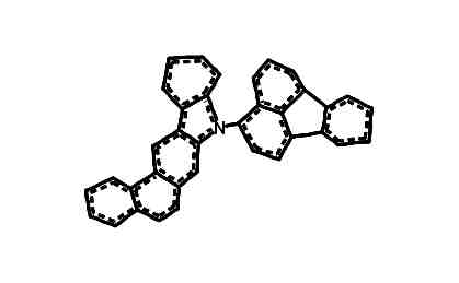 c1ccc2c(c1)-c1cccc3c(-n4c5ccccc5c5cc6c(ccc7ccccc76)cc54)ccc-2c13